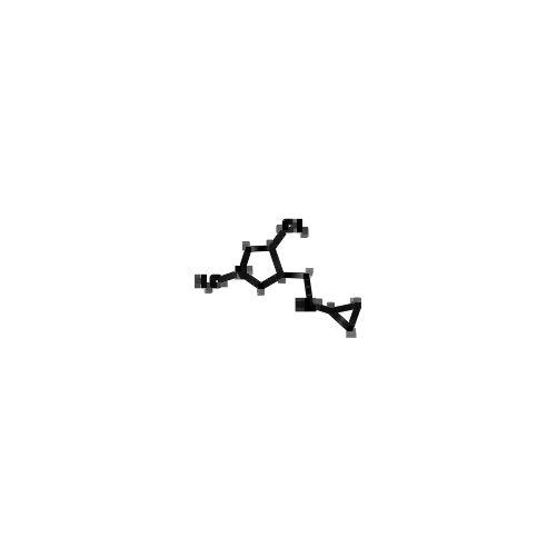 CC1CN(C)CC1CNC1CC1